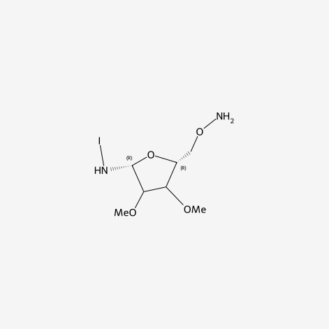 COC1C(OC)[C@@H](CON)O[C@H]1NI